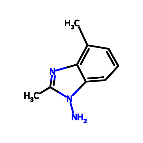 Cc1cccc2c1nc(C)n2N